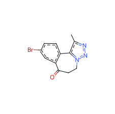 Cc1nnn2c1-c1ccc(Br)cc1C(=O)CC2